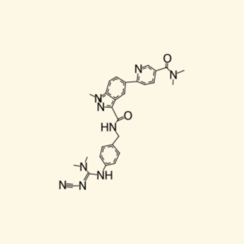 CN(C)C(=O)c1ccc(-c2ccc3c(c2)c(C(=O)NCc2ccc(N/C(=N/C#N)N(C)C)cc2)nn3C)nc1